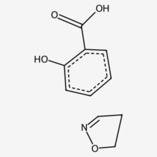 C1=NOCC1.O=C(O)c1ccccc1O